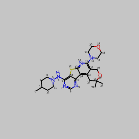 CC1CCN(Nc2ncnc3c2sc2nc(N4CCOCC4)c4c(c23)CC(C)(C)OC4)CC1